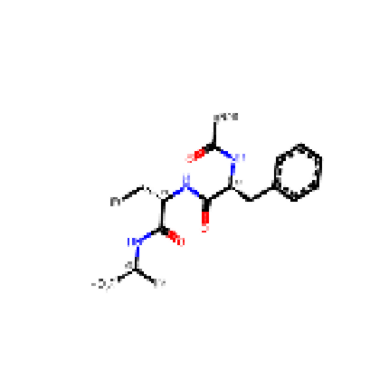 CCCCCCCCCC(=O)N[C@@H](Cc1ccccc1)C(=O)N[C@@H](CC(C)C)C(=O)N[C@H](C(=O)O)C(C)C